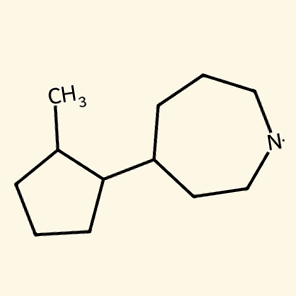 CC1CCCC1C1CCC[N]CC1